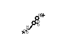 CC(C)(C)OC(=O)NCC#Cc1ccc2c(c1)c(=O)oc1cc(O[Si](C)(C)C(C)(C)C)ccc12